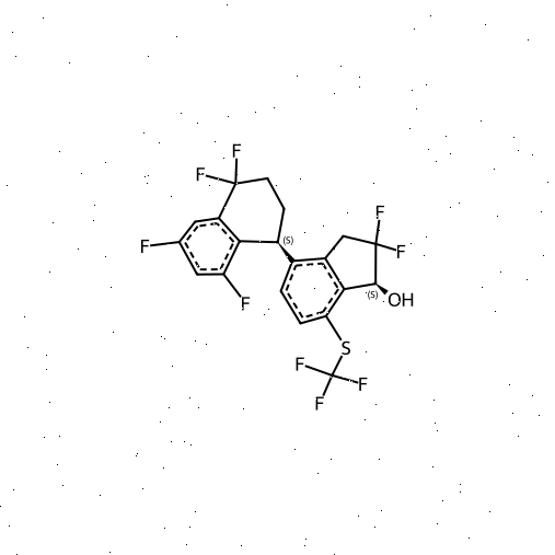 O[C@H]1c2c(SC(F)(F)F)ccc([C@@H]3CCC(F)(F)c4cc(F)cc(F)c43)c2CC1(F)F